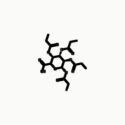 CCC(=O)O[C@H]1OC(C(=O)O)[C@@H](OC(=O)CC)[C@H](OC(=O)CC)[C@H]1OC(=O)CC